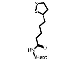 CCCCCCCNC(=O)CCCC[C@@H]1CCSS1